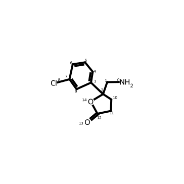 NCC1(c2cccc(Cl)c2)CCC(=O)O1